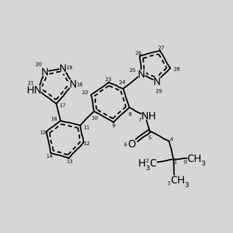 CC(C)(C)CC(=O)Nc1cc(-c2ccccc2-c2nnn[nH]2)ccc1-n1cccn1